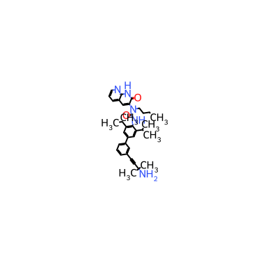 CCCCN(C(=O)Nc1c(C(C)C)cc(-c2cccc(C#CC(C)(C)N)c2)cc1C(C)C)c1cc2cccnc2[nH]c1=O